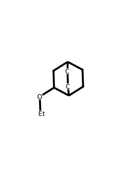 CCOC1CC2CCC1CC2